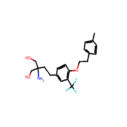 Cc1ccc(CCOc2ccc(CCC(N)(CO)CO)cc2C(F)(F)F)cc1